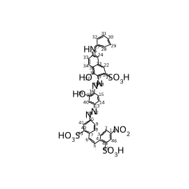 O=[N+]([O-])c1ccc(/C=C\c2ccc(N=Nc3ccc(N=Nc4c(S(=O)(=O)O)cc5cc(Nc6ccccc6)ccc5c4O)c(O)c3)cc2S(=O)(=O)O)c(S(=O)(=O)O)c1